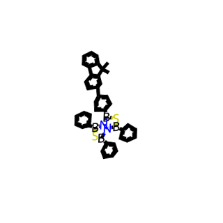 CC1(C)c2ccccc2-c2ccc(-c3ccc(B4SB(c5ccccc5)N5B(c6ccccc6)SB(c6ccccc6)N45)cc3)cc21